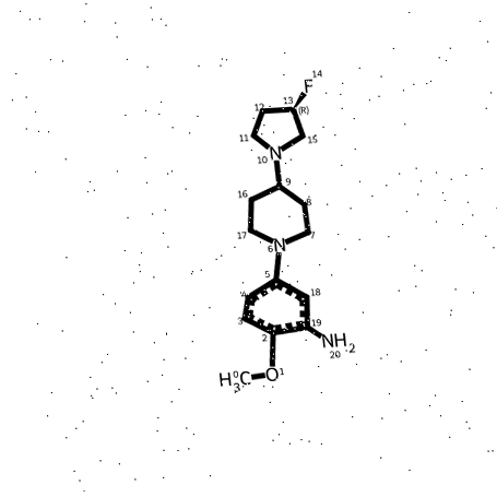 COc1ccc(N2CCC(N3CC[C@@H](F)C3)CC2)cc1N